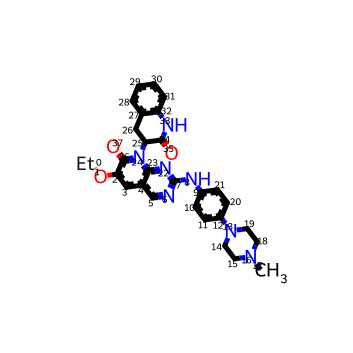 CCOc1cc2cnc(Nc3ccc(N4CCN(C)CC4)cc3)nc2n(C2Cc3ccccc3NC2=O)c1=O